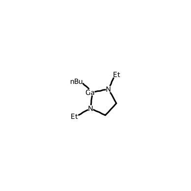 CCC[CH2][Ga]1[N](CC)CC[N]1CC